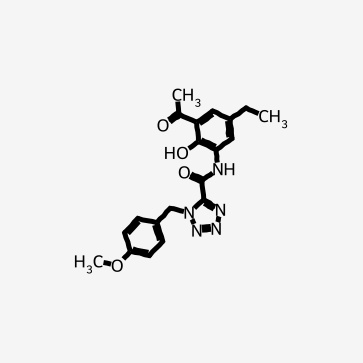 CCc1cc(NC(=O)c2nnnn2Cc2ccc(OC)cc2)c(O)c(C(C)=O)c1